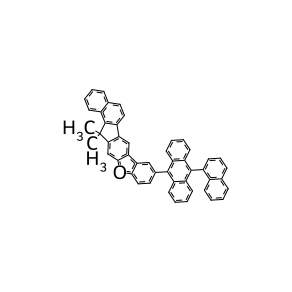 CC1(C)c2cc3oc4ccc(-c5c6ccccc6c(-c6cccc7ccccc67)c6ccccc56)cc4c3cc2-c2ccc3ccccc3c21